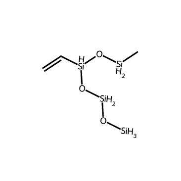 C=C[SiH](O[SiH2]C)O[SiH2]O[SiH3]